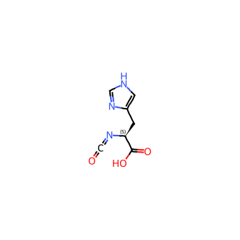 O=C=N[C@@H](Cc1c[nH]cn1)C(=O)O